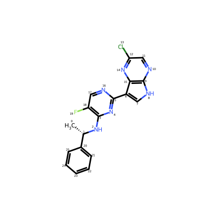 C[C@H](Nc1nc(-c2c[nH]c3ncc(Cl)nc23)ncc1F)c1ccccc1